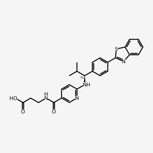 CC(C)[C@H](Nc1ccc(C(=O)NCCC(=O)O)cn1)c1ccc(-c2nc3ccccc3s2)cc1